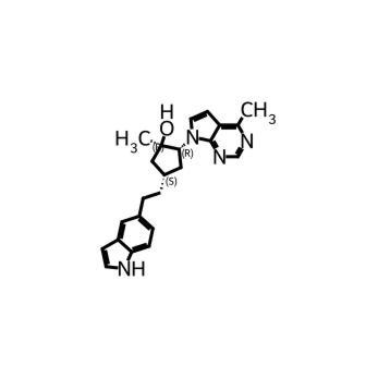 Cc1ncnc2c1ccn2[C@@H]1C[C@H](CCc2ccc3[nH]ccc3c2)C[C@@]1(C)O